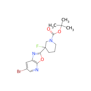 CC(C)(C)OC(=O)N1CCCC(F)(c2nc3cc(Br)cnc3o2)C1